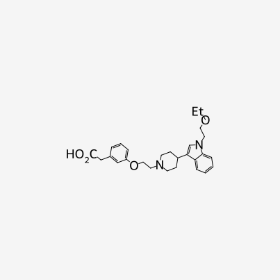 CCOCCn1cc(C2CCN(CCOc3cccc(CC(=O)O)c3)CC2)c2ccccc21